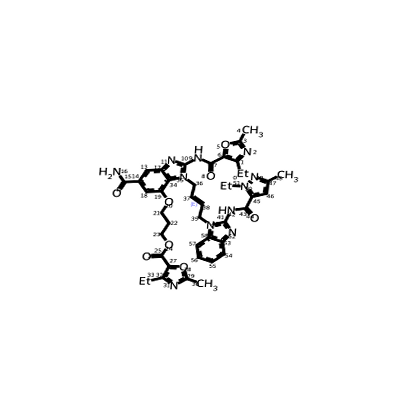 CCc1nc(C)oc1C(=O)Nc1nc2cc(C(N)=O)cc(OCCCOC(=O)c3oc(C)nc3CC)c2n1C/C=C/Cn1c(NC(=O)c2cc(C)nn2CC)nc2ccccc21